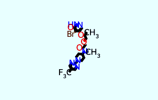 CC(COCC(=O)N(C)C1CCN(c2ncc(C(F)(F)F)cn2)CC1)Oc1cn[nH]c(=O)c1Br